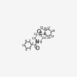 O=C(c1ccccc1)N1CCC2(CC1)OCc1ccccc12